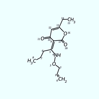 C=CCONC(CCC)=C1C(=O)C=C(CC)OC1=O